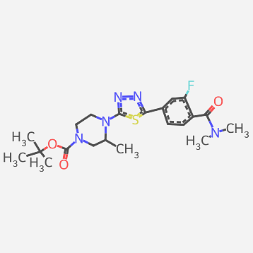 CC1CN(C(=O)OC(C)(C)C)CCN1c1nnc(-c2ccc(C(=O)N(C)C)c(F)c2)s1